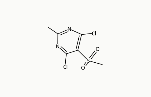 Cc1nc(Cl)c(S(C)(=O)=O)c(Cl)n1